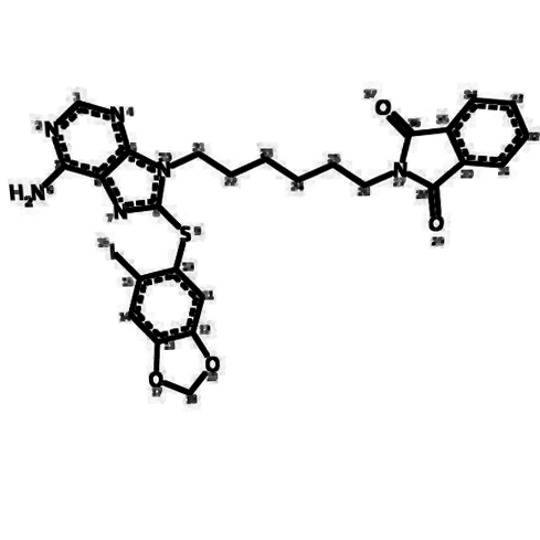 Nc1ncnc2c1nc(Sc1cc3c(cc1I)OCO3)n2CCCCCCN1C(=O)c2ccccc2C1=O